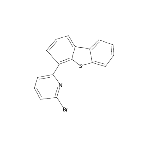 Brc1cccc(-c2cccc3c2sc2ccccc23)n1